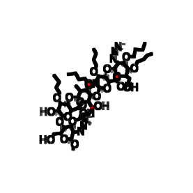 CCCCOC1[C@@H](O[C@@H]2OC(CO)[C@@H](O[C@@H]3OC(C(=O)O)[C@@H](O[C@H]4OC(CO)[C@@H](OCCCC)[C@H](OCCCC)C4N=[N+]=[N-])C(OCCCC)[C@@H]3OCCCC)[C@H](O)C2C)C(C(=O)O)O[C@@H](O[C@@H]2C(CO)O[C@H](OC)C(N=[N+]=[N-])[C@H]2OCCCC)[C@H]1O